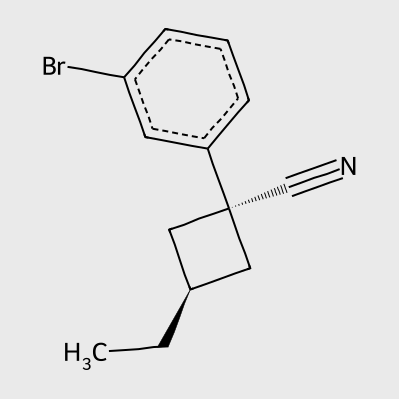 CC[C@H]1C[C@@](C#N)(c2cccc(Br)c2)C1